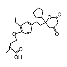 CCc1cc(CCC2(C3CCCC3)CC(=O)CC(=O)O2)ccc1OCCN(C)C(=O)O